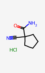 Cl.N#CC1(C(N)=O)CCCC1